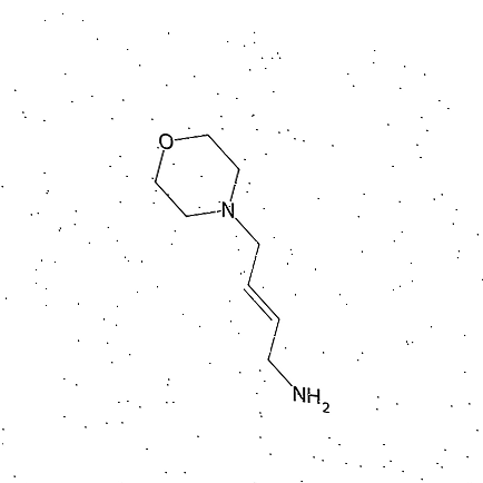 NCC=CCN1CCOCC1